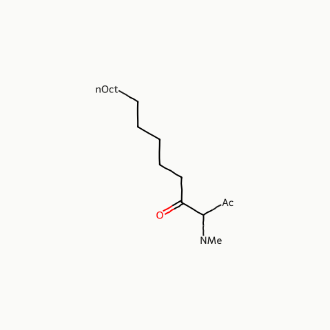 CCCCCCCCCCCCCC(=O)C(NC)C(C)=O